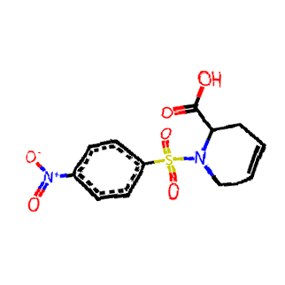 O=C(O)C1CC=CCN1S(=O)(=O)c1ccc([N+](=O)[O-])cc1